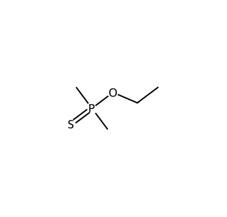 CCOP(C)(C)=S